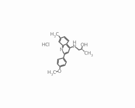 COc1ccc(-c2cc(NC[C@H](C)O)c3ccc(C)cc3n2)cc1.Cl